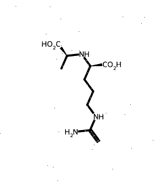 C=C(N)NCCC[C@@H](N[C@@H](C)C(=O)O)C(=O)O